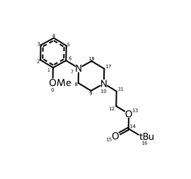 COc1ccccc1N1CCN(CCOC(=O)C(C)(C)C)CC1